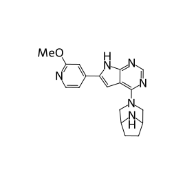 COc1cc(-c2cc3c(N4CC5CCC(C4)N5)ncnc3[nH]2)ccn1